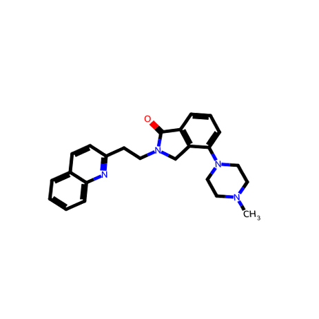 CN1CCN(c2cccc3c2CN(CCc2ccc4ccccc4n2)C3=O)CC1